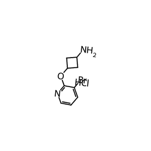 Cl.NC1CC(Oc2ncccc2Br)C1